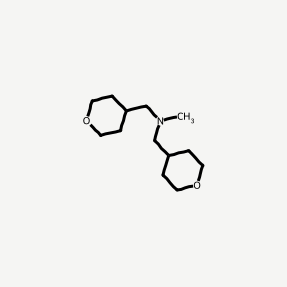 CN(CC1CCOCC1)CC1CCOCC1